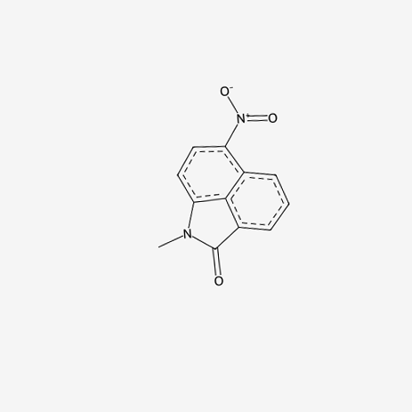 CN1C(=O)c2cccc3c([N+](=O)[O-])ccc1c23